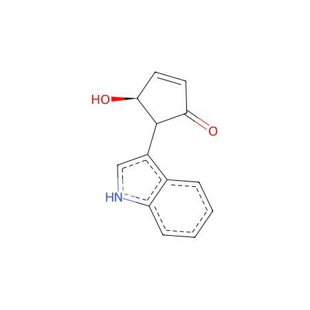 O=C1C=C[C@H](O)C1c1c[nH]c2ccccc12